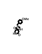 COc1ccc(CN2CNC3(CCNC(=O)C3)C2=O)cc1